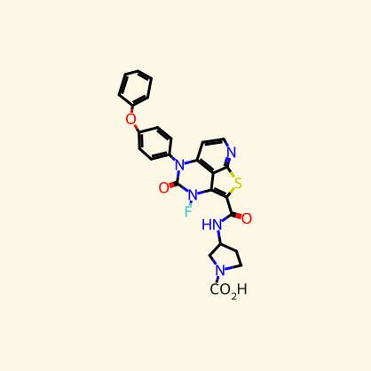 O=C(NC1CCN(C(=O)O)C1)c1sc2nccc3c2c1N(F)C(=O)N3c1ccc(Oc2ccccc2)cc1